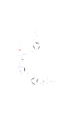 COC(=O)C(CSCc1cccc(OCCF)c1)NC(=O)Cn1cc(COc2ccc3nc(S(N)(=O)=O)sc3c2)nn1